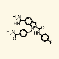 N=C(N)c1ccc2cc(C(=O)Nc3ccc(F)cc3)n(Cc3ccc(C(N)=O)cc3)c2c1